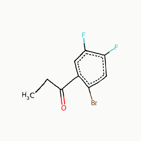 CCC(=O)c1cc(F)c(F)cc1Br